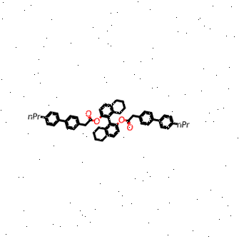 CCCc1ccc(-c2ccc(CC(=O)Oc3ccc4c(c3-c3c(OC(=O)Cc5ccc(-c6ccc(CCC)cc6)cc5)ccc5c3CCCC5)CCCC4)cc2)cc1